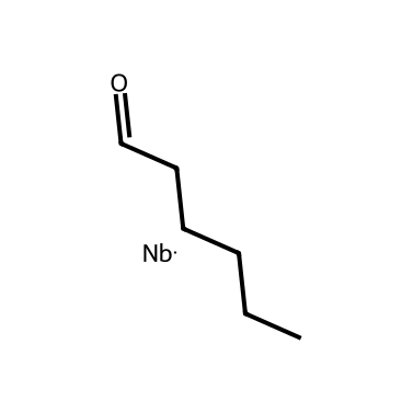 CCCCCC=O.[Nb]